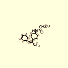 CC(C)(C)OC(=O)NC1CCN(C(=O)C(F)(F)F)[C@H](c2ccccc2)C1